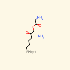 CCCCCCCCCCCC(=O)COC(=O)CN.N